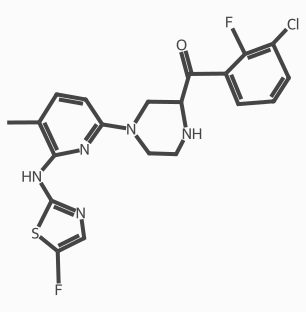 Cc1ccc(N2CCNC(C(=O)c3cccc(Cl)c3F)C2)nc1Nc1ncc(F)s1